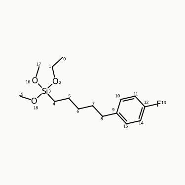 CCO[Si](CCCCCc1ccc(F)cc1)(OC)OC